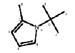 Cc1cccn1C(C)(C)C